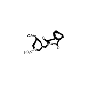 COC1CC(CN2C(=O)c3ccccc3C2=O)CN(C(=O)O)C1